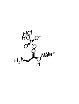 Cl.NCC(=O)O.O=P([O-])([O-])O.[Na+].[Na+]